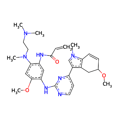 C=CC(=O)Nc1cc(Nc2nccc(-c3cn(C)c4c3CC(OC)C=C4)n2)c(OC)cc1N(C)CCN(C)C